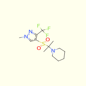 Cn1cc(S(=O)(=O)C(C)(C)N2CCCCC2)c(C(F)(F)F)n1